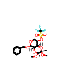 CO[C@@]1(C)O[C@@H]2[C@@H](OCc3ccccc3)OC[C@@H](OS(=O)(=O)C(F)(F)F)[C@@H]2O[C@]1(C)OC